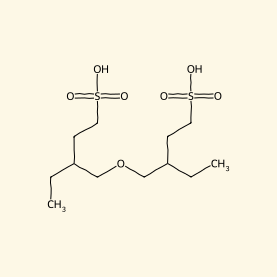 CCC(CCS(=O)(=O)O)COCC(CC)CCS(=O)(=O)O